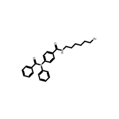 CC(=O)CCCCCCNC(=O)c1ccc(N(C(=O)c2ccccc2)c2ccccc2)cc1